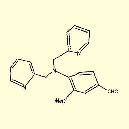 COc1cc(C=O)ccc1N(Cc1ccccn1)Cc1ccccn1